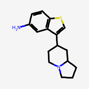 Nc1ccc2scc(C3CCN4CCCC4C3)c2c1